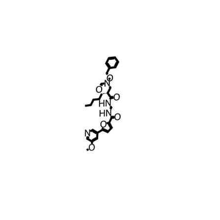 CCCCC[C@H](CN(C=O)OCc1ccccc1)C(=O)NCNC(=O)c1ccc(-c2cncc(OC)c2)o1